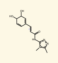 Cc1nnc(NC(=O)/C=C/C2=CC(O)C(O)C=C2)n1C